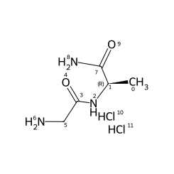 C[C@@H](NC(=O)CN)C(N)=O.Cl.Cl